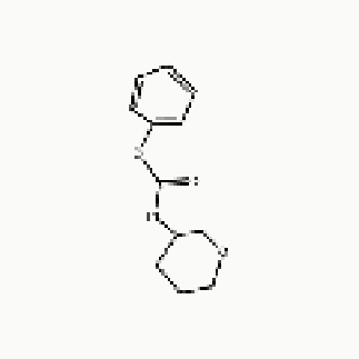 O=C(NC1CCCOC1)Oc1ccccc1